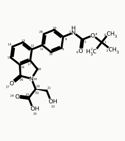 CC(C)(C)OC(=O)Nc1ccc(-c2cccc3c2CN([C@@H](CO)C(=O)O)C3=O)cc1